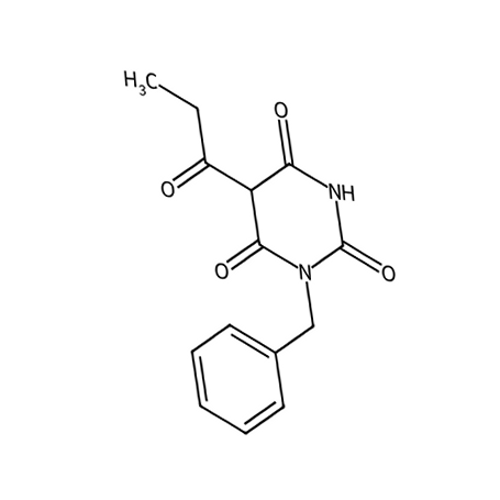 CCC(=O)C1C(=O)NC(=O)N(Cc2ccccc2)C1=O